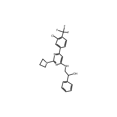 OC(CNc1cc(-c2ccc(C(F)(F)F)c(Cl)c2)nc(N2CCC2)n1)c1ccccc1